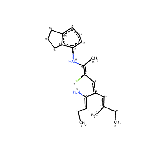 CC/C=C(N)/C(=C\C(F)=C(/C)Nc1cccc2c1CCC2)/C=C(\C)CC